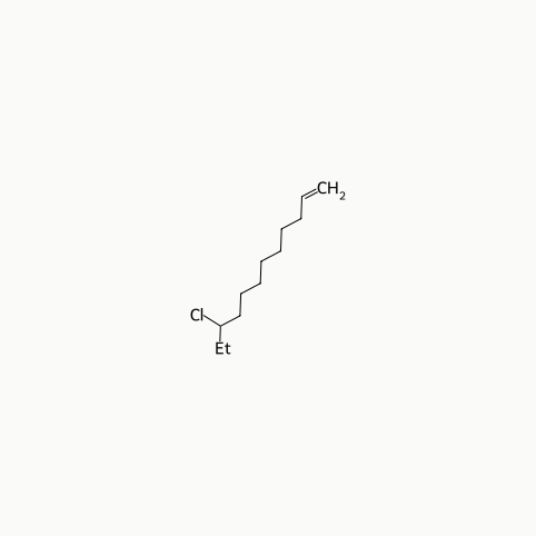 C=CCCCCCCCC(Cl)CC